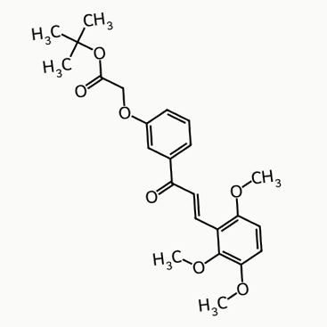 COc1ccc(OC)c(OC)c1/C=C/C(=O)c1cccc(OCC(=O)OC(C)(C)C)c1